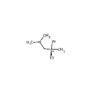 CC[C@@](C)(CN(C)C)C(C)C